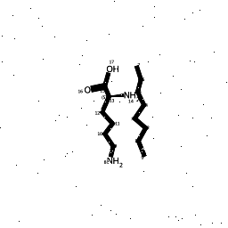 CCCCCCCC.NCCCC[C@H](N)C(=O)O